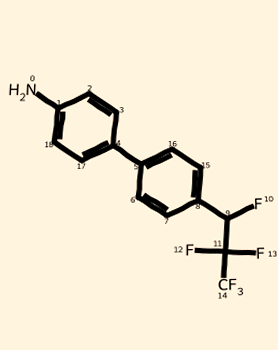 Nc1ccc(-c2ccc(C(F)C(F)(F)C(F)(F)F)cc2)cc1